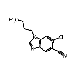 CCCCn1cnc2cc(C#N)c(Cl)cc21